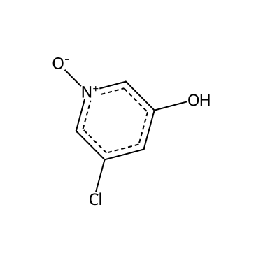 [O-][n+]1cc(O)cc(Cl)c1